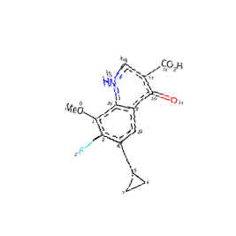 COc1c(F)c(C2CC2)cc2c(=O)c(C(=O)O)c[nH]c12